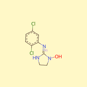 ON1CCN/C1=N\c1cc(Cl)ccc1Cl